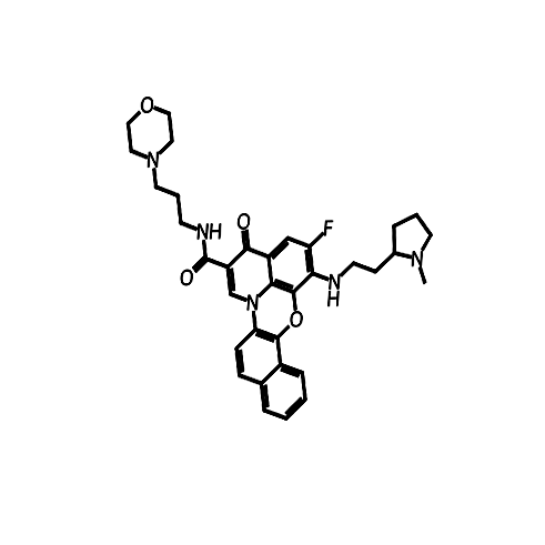 CN1CCCC1CCNc1c(F)cc2c(=O)c(C(=O)NCCCN3CCOCC3)cn3c2c1Oc1c-3ccc2ccccc12